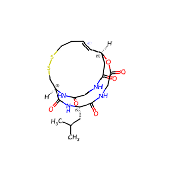 CC(C)C[C@@H]1NC(=O)[C@H]2CSSCC/C=C/[C@H](CC(=O)NCC(=O)N2)OC(=O)CNC1=O